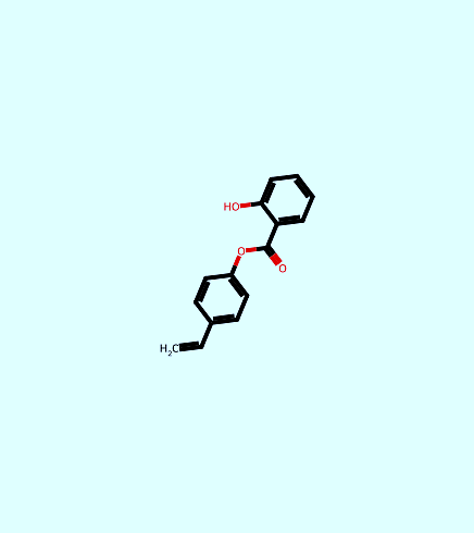 C=Cc1ccc(OC(=O)c2ccccc2O)cc1